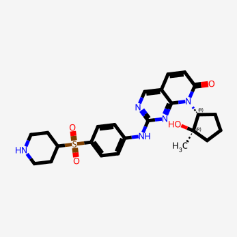 C[C@@]1(O)CCC[C@H]1n1c(=O)ccc2cnc(Nc3ccc(S(=O)(=O)C4CCNCC4)cc3)nc21